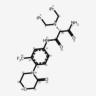 CC(C)CN(CC(C)C)[C@H](C(N)=O)C(=O)Nc1ccc(N2CCOCC2=O)c(C(F)(F)F)c1